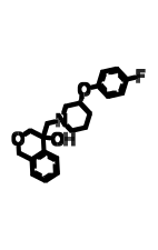 OC1(CN2CCC[C@H](Oc3ccc(F)cc3)C2)COCc2ccccc21